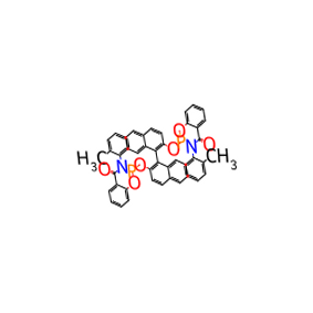 Cc1ccccc1N1C(=O)c2ccccc2OP1Oc1ccc2ccccc2c1-c1c(OP2Oc3ccccc3C(=O)N2c2ccccc2C)ccc2ccccc12